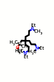 CCO[Si](C)(C)CC(CCCN(C)CC)(CCCN(C)CC)CCCN(C)CC